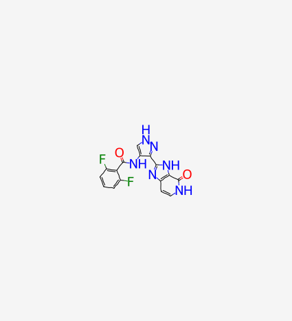 O=C(Nc1c[nH]nc1-c1nc2cc[nH]c(=O)c2[nH]1)c1c(F)cccc1F